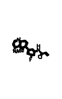 C=CC(=O)Nc1cc(F)cc(-c2ccc3nccc(NC)c3c2)c1